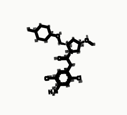 CO[C@H]1C[C@@H](COC2CCC(C)CC2)N(C(=O)Cc2cc(Cl)c(N)cc2Cl)C1